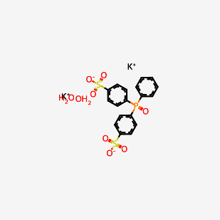 O.O.O=P(c1ccccc1)(c1ccc(S(=O)(=O)[O-])cc1)c1ccc(S(=O)(=O)[O-])cc1.[K+].[K+]